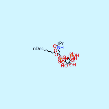 CCCCCCCCCCCCCCCC(=O)O[C@H](CCNC(=O)CCC)COP(=O)(O)OC1C(O)[C@@H](OP(=O)(O)O)C(O)[C@@H](O)[C@H]1O